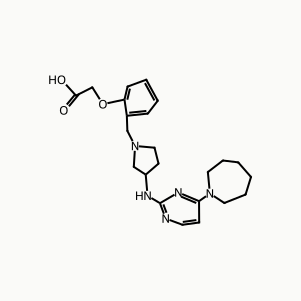 O=C(O)COc1ccccc1CN1CCC(Nc2nccc(N3CCCCCC3)n2)C1